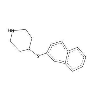 c1ccc2cc(SC3CCNCC3)ccc2c1